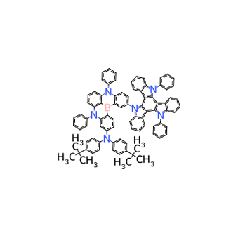 CC(C)(C)c1ccc(N(c2ccc(C(C)(C)C)cc2)c2ccc3c(c2)N(c2ccccc2)c2cccc4c2B3c2cc(-n3c5ccccc5c5c6c(c7ccccc7n6-c6ccccc6)c6c(c7ccccc7n6-c6ccccc6)c53)ccc2N4c2ccccc2)cc1